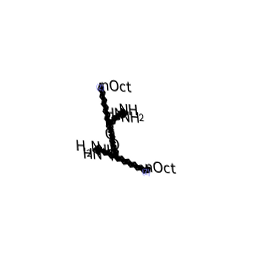 CCCCCCCC/C=C\CCCCCCCCN(CCCNC(=N)N)CCOCCOCCN(CCCCCCCC/C=C\CCCCCCCC)CCCNC(=N)N